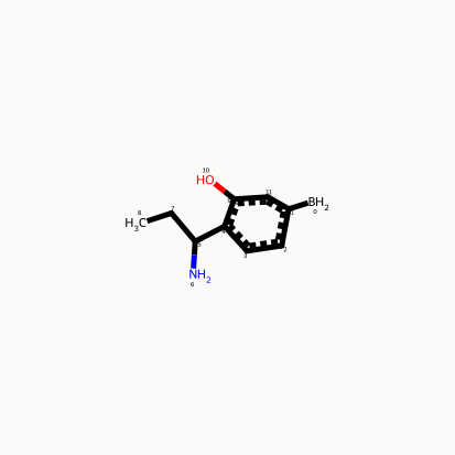 Bc1ccc(C(N)CC)c(O)c1